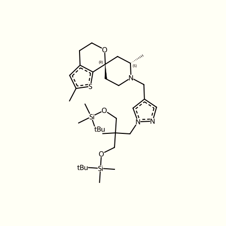 Cc1cc2c(s1)[C@]1(CCN(Cc3cnn(CC(C)(CO[Si](C)(C)C(C)(C)C)CO[Si](C)(C)C(C)(C)C)c3)[C@@H](C)C1)OCC2